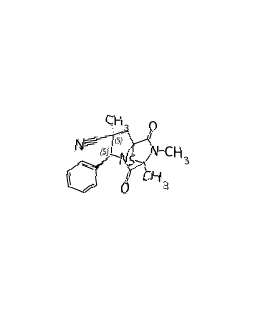 CN1C(=O)C23C[C@](C)(C#N)[C@H](c4ccccc4)N2C(=O)C1(C)S3